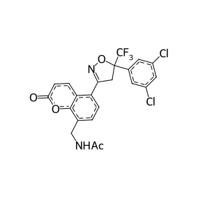 CC(=O)NCc1ccc(C2=NOC(c3cc(Cl)cc(Cl)c3)(C(F)(F)F)C2)c2ccc(=O)oc12